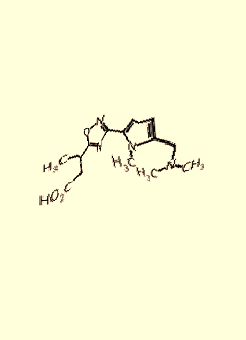 CC(CC(=O)O)c1nc(-c2ccc(CN(C)C)n2C)no1